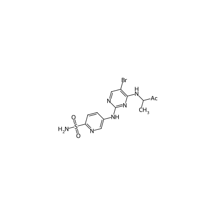 CC(=O)C(C)Nc1nc(Nc2ccc(S(N)(=O)=O)nc2)ncc1Br